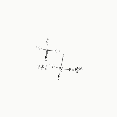 F[B-](F)(F)F.F[B-](F)(F)F.[BeH2].[RbH]